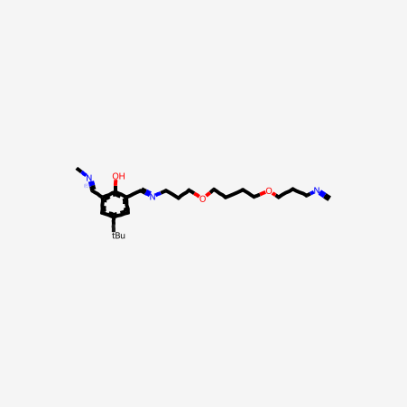 C=NCCCOCCCCOCCCN=Cc1cc(C(C)(C)C)cc(/C=N/C)c1O